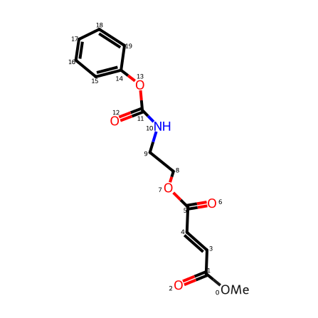 COC(=O)/C=C/C(=O)OCCNC(=O)Oc1ccccc1